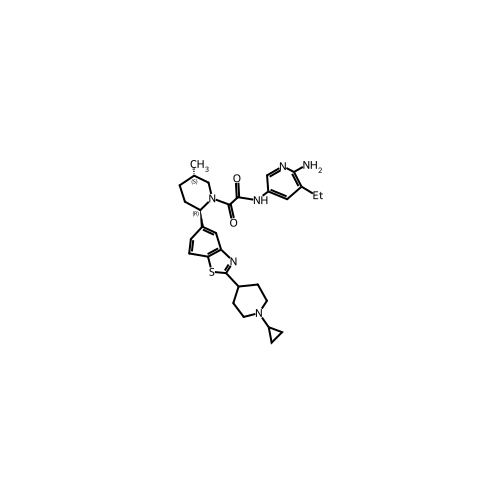 CCc1cc(NC(=O)C(=O)N2C[C@@H](C)CC[C@@H]2c2ccc3sc(C4CCN(C5CC5)CC4)nc3c2)cnc1N